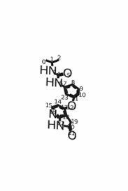 CC(C)NC(=O)Nc1cccc(Oc2ccnc3c2CC(=O)N3)c1